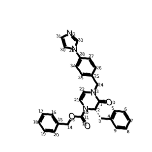 O=C1[C@H](Cc2ccccc2)N(C(=O)OCc2ccccc2)C=CN1Cc1ccc(-n2ccnc2)cc1